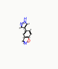 c1cc2oncc2cc1-c1cn[nH]c1